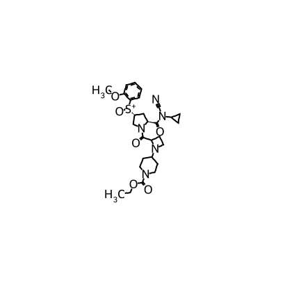 CCOC(=O)N1CCC(N2CCC2C(=O)N2C[C@H]([S+]([O-])c3ccccc3OC)C[C@H]2C(=O)N(C#N)C2CC2)CC1